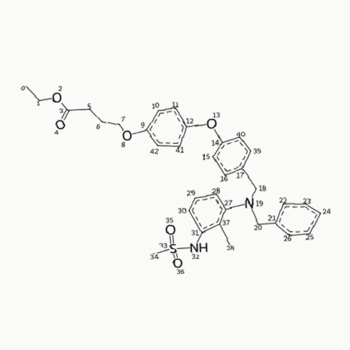 CCOC(=O)CCCOc1ccc(Oc2ccc(CN(Cc3ccccc3)c3cccc(NS(C)(=O)=O)c3C)cc2)cc1